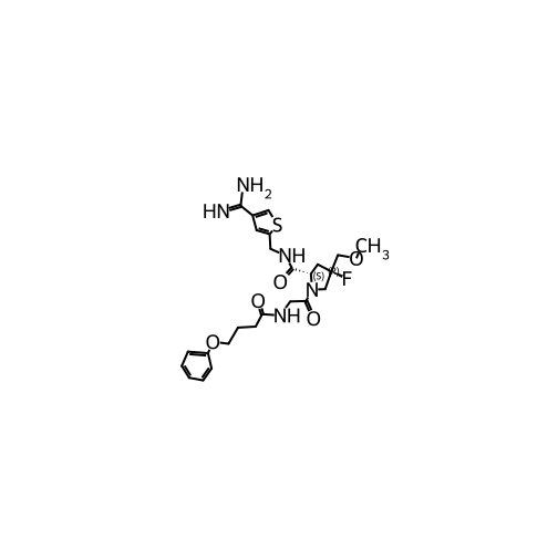 COC[C@@]1(F)C[C@@H](C(=O)NCc2cc(C(=N)N)cs2)N(C(=O)CNC(=O)CCCOc2ccccc2)C1